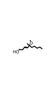 CCCCCC(C)(/C=C/CCO)OC